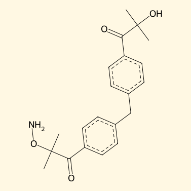 CC(C)(O)C(=O)c1ccc(Cc2ccc(C(=O)C(C)(C)ON)cc2)cc1